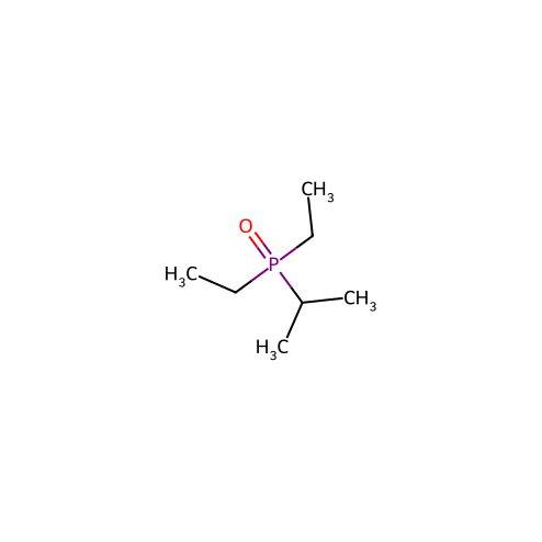 CCP(=O)(CC)C(C)C